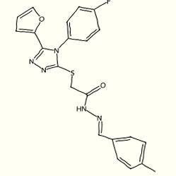 Cc1ccc(C=NNC(=O)CSc2nnc(-c3ccco3)n2-c2ccc(F)cc2)cc1